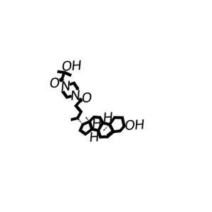 CC(CCC(=O)N1CCN(C(=O)C(C)(C)O)CC1)[C@H]1CC[C@H]2[C@@H]3CC=C4C[C@@H](O)CC[C@]4(C)[C@H]3CC[C@]12C